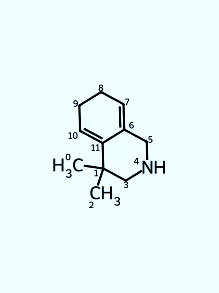 CC1(C)CNCC2=CCCC=C21